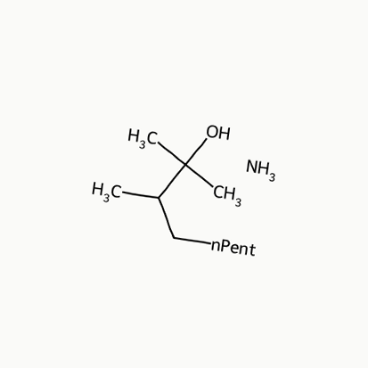 CCCCCCC(C)C(C)(C)O.N